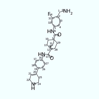 NCc1ccc(NC(=O)C23CCC(C(=O)Nc4ccc(C5=CCNCC5)cc4)(CC2)CC3)cc1F